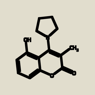 Cc1c(N2CCCC2)c2c(O)cccc2oc1=O